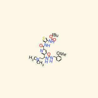 COc1ccccc1CNC(=O)NC(CCN(C)C)c1ccc(C(=O)Nc2cscc2NC(=O)OC(C)(C)C)nc1